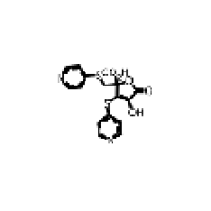 O=C1OC(CSc2ccncc2)(C(=O)O)C(Sc2ccncc2)=C1O